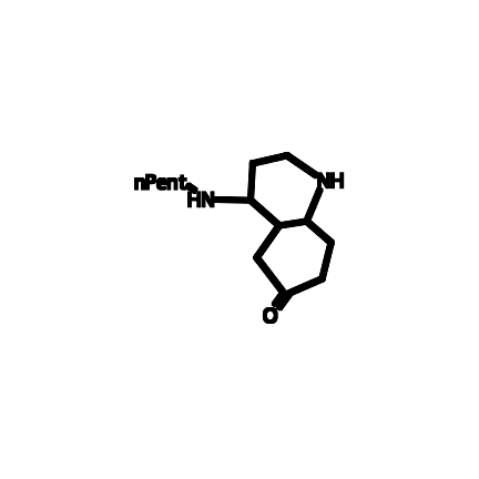 CCCCCNC1CCNC2CCC(=O)CC12